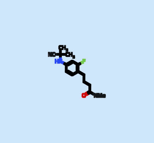 CNC(=O)CCCc1ccc(NC(C)(C)C#N)cc1F